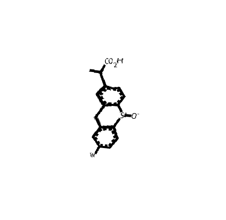 CC(C(=O)O)c1ccc2c(c1)Cc1cc(Br)ccc1[S+]2[O-]